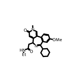 CCNC(=O)CC1N=C(C2CCCCC2)c2cc(OC)ccc2-c2cn(C)c(=O)cc21